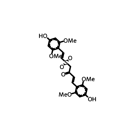 COc1cc(O)cc(OC)c1/C=C/C(=O)CS(=O)(=O)/C=C/c1c(OC)cc(O)cc1OC